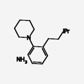 CC(C)CCc1ccccc1N1CCCCC1.N